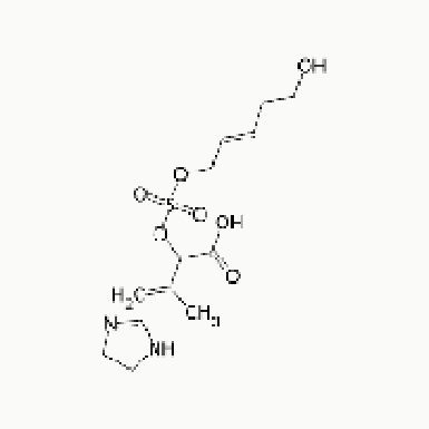 C1=NCCN1.C=C(C)C(OS(=O)(=O)OCC=CCCO)C(=O)O